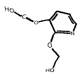 OCOc1cccnc1OCO